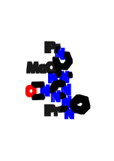 COC1(c2nc3c(N4CCOCC4)nc(-n4c(C(C)C)nc5ccccc54)nc3n2C)CCCN(C(C)C)C1